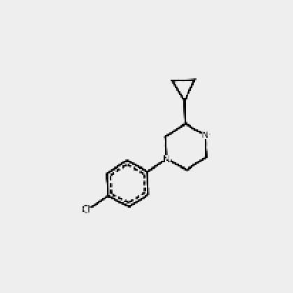 Clc1ccc(N2CC[N]C(C3CC3)C2)cc1